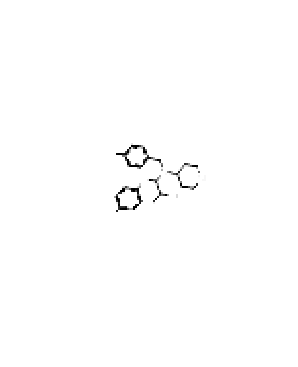 CCOC(=O)c1ccc(CN(C2CCNCC2)C(Oc2ccc(O)cc2)C(C)O)cc1